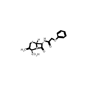 C=C1CS[C@@H]2[C@H](NC(=O)COc3ccccc3)C(=O)N2[C@H]1C(=O)O